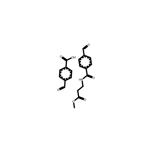 COC(=O)CCNC(=O)c1ccc(C=O)cc1.O=Cc1ccc(C(=O)O)cc1